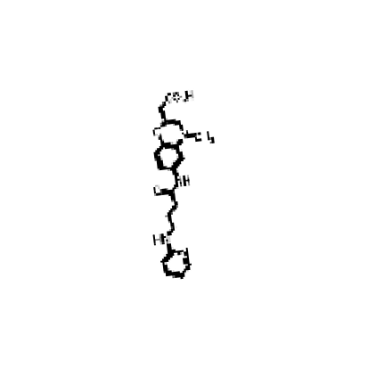 CN1CC(CC(=O)O)Oc2ccc(NC(=O)CCCNc3ccccn3)cc21